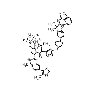 Cc1ncsc1-c1ccc([C@H](C)NC(=O)[C@@H]2C[C@@H](O[Si](C)(C)C(C)(C)C)CN2C(=O)C(c2cc(CN3CCC(c4ccc5c(c4)C(C)(C)c4nc(=O)c6c(Cl)cccc6n4-5)CC3)no2)C(C)C)cc1